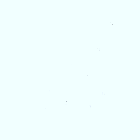 Cc1cc(C#N)ncc1Oc1cc(NC(=O)OC(C)(C)C)c2nc(C)n(C)c2n1